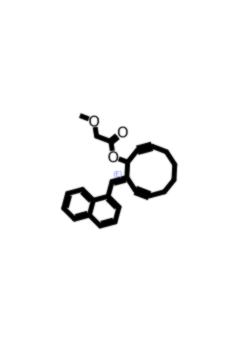 COCC(=O)OC1C#CCCCCC#C/C1=C\c1cccc2ccccc12